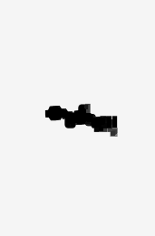 Cc1ccc(CCCC(=O)c2ccc(COCC(C)(N)CO)c(Cl)c2)cc1